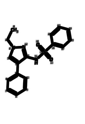 CCn1cc(-c2ccccc2)c(NS(=O)(=O)c2ccccc2)n1